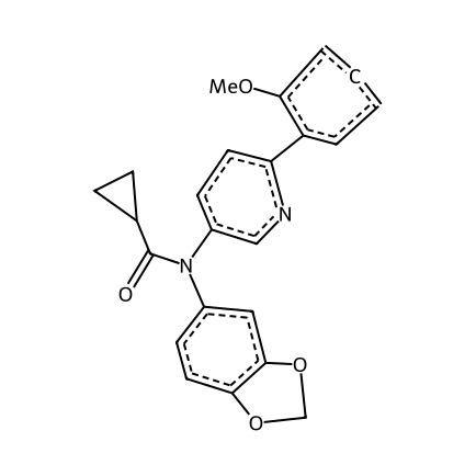 COc1ccccc1-c1ccc(N(C(=O)C2CC2)c2ccc3c(c2)OCO3)cn1